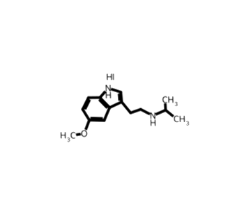 COc1ccc2[nH]cc(CCNC(C)C)c2c1.I